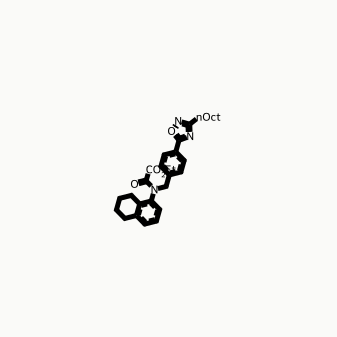 CCCCCCCCc1noc(-c2ccc(CN(C(=O)C(=O)OCC)c3cccc4c3CCCC4)cc2)n1